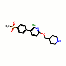 CS(=O)(=O)c1ccc(-c2ccc(OCC3CCNCC3)nc2)cc1.Cl